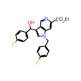 CCOC(=O)c1cc2c(cn1)c(C(O)c1ccc(F)cc1)cn2Cc1ccc(F)cc1